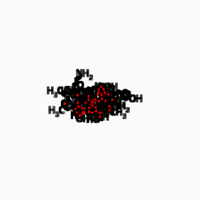 CC(C)CC(N)COC(Cc1ccc(O)cc1)C(=O)NC(=O)[C@H](CS)NN[C@@H](CC(=O)O)C(=O)N[C@@H](CC(=O)O)C(=O)N[C@@H](CO)C(=O)N[C@@H](CO)C(=O)N[C@@H](CC(N)=O)C(=O)N[C@@H](CS)C(=O)C(=O)[C@H](CC(C)C)NC(=O)[C@H](CC(C)C)NN[C@@H](CCCCN)C(=O)C(=O)[C@H](CCCCN)NC(=O)[C@H](Cc1ccc(O)cc1)NN[C@@H](CCCNC(N)N)C(=O)N[C@@H](CO)C(=O)O